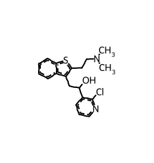 CN(C)CCc1sc2ccccc2c1CC(O)c1cccnc1Cl